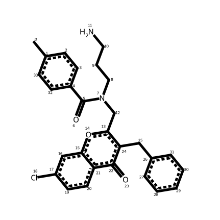 Cc1ccc(C(=O)N(CCCN)Cc2oc3cc(Cl)ccc3c(=O)c2Cc2ccccc2)cc1